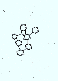 c1ccc(-c2nccnc2-c2cccc(-c3nc(-c4ccccc4)c4c5ccccc5n(-c5ccccc5)c4n3)c2)cc1